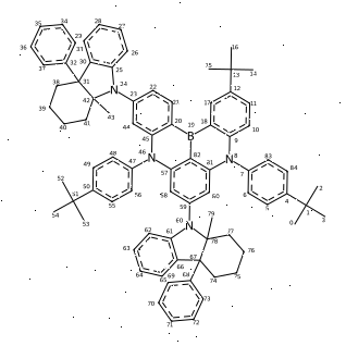 CC(C)(C)c1ccc(N2c3ccc(C(C)(C)C)cc3B3c4ccc(N5c6ccccc6C6(c7ccccc7)CCCCC56C)cc4N(c4ccc(C(C)(C)C)cc4)c4cc(N5c6ccccc6C6(c7ccccc7)CCCCC56C)cc2c43)cc1